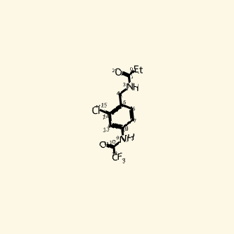 CCC(=O)NCc1ccc(NC(=O)C(F)(F)F)cc1Cl